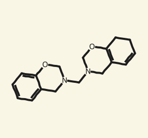 C1=CC2=C(CC1)OCN(CN1COc3ccccc3C1)C2